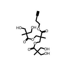 C#CCCOC(=O)C(C)(COC(=O)C(C)(CO)CO)COC(=O)C(C)(CO)CO